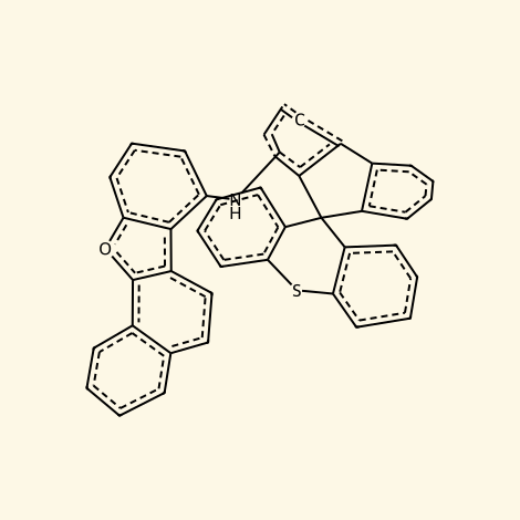 c1ccc2c(c1)Sc1ccccc1C21c2ccccc2-c2cccc(Nc3cccc4oc5c6ccccc6ccc5c34)c21